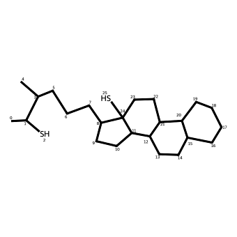 CC(S)C(C)CCCC1CCC2C3CCC4CCCCC4C3CCC12S